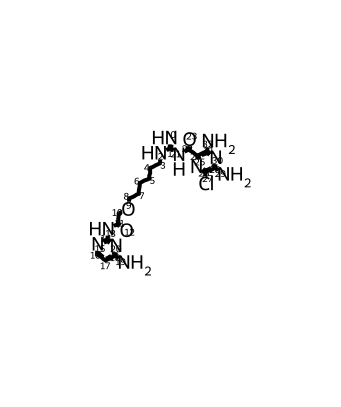 N=C(NCCCCCCOCC(=O)Nc1nccc(N)n1)NC(=O)c1nc(Cl)c(N)nc1N